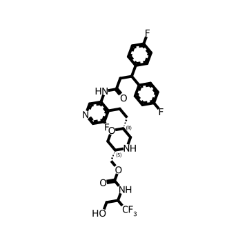 O=C(CC(c1ccc(F)cc1)c1ccc(F)cc1)Nc1cncc(F)c1CC[C@@H]1CN[C@H](COC(=O)NC(CO)C(F)(F)F)CO1